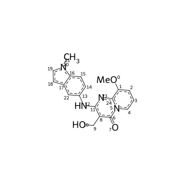 COc1cccn2c(=O)c(CO)c(Nc3ccc4c(ccn4C)c3)nc12